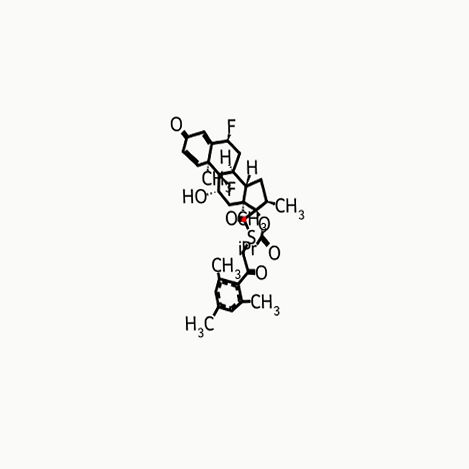 Cc1cc(C)c(C(=O)CSC(=O)[C@@]2(OC(=O)C(C)C)[C@H](C)C[C@H]3[C@@H]4C[C@H](F)C5=CC(=O)C=C[C@]5(C)[C@@]4(F)[C@@H](O)C[C@@]32C)c(C)c1